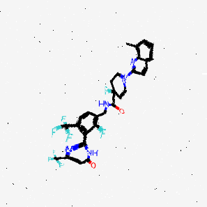 Cc1cccc2ccc(N3CCC(F)(C(=O)NCc4ccc(C(F)(F)F)c(-c5nc(C(F)(F)F)cc(=O)[nH]5)c4F)CC3)nc12